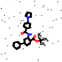 CC(C)(C)OC(=O)c1ccc(-c2ccccc2)cc1NC(=O)c1ccc(-n2cccc2)cc1